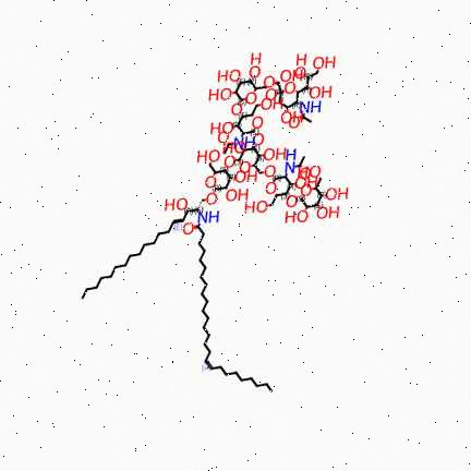 CCCCCCCC/C=C\CCCCCCCCCCCCCCCC(=O)N[C@@H](CO[C@@H]1OC(CO)[C@@H](O[C@@H]2OC(CO[C@@H]3OC(CO)[C@@H](O[C@@H]4OC(CO)[C@H](O)[C@H](O)C4O)[C@H](O)C3NC(C)=O)[C@H](O)[C@H](O[C@@H]3OC(CO)[C@@H](O[C@@H]4OC(CO[C@]5(C(=O)O)CC(O)[C@@H](NC(C)=O)C([C@H](O)[C@H](O)CO)O5)[C@H](O)[C@H](O)C4O)[C@H](O)C3NC(C)=O)C2O)[C@H](O)C1O)[C@H](O)/C=C/CCCCCCCCCCCCC